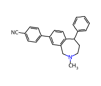 CN1CCC(c2ccccc2)c2ccc(-c3ccc(C#N)cc3)cc2C1